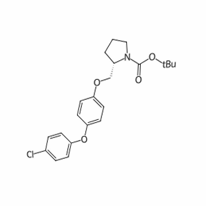 CC(C)(C)OC(=O)N1CCC[C@H]1COc1ccc(Oc2ccc(Cl)cc2)cc1